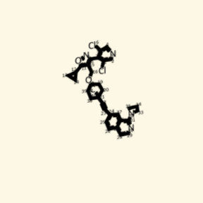 Clc1cncc(Cl)c1-c1noc(C2CC2)c1COC12CCC(C#Cc3ccc4ccnc(N5CCC5)c4c3)(CC1)CC2